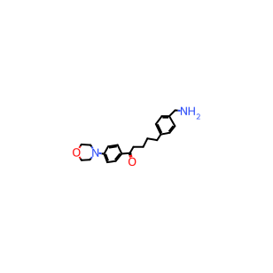 NCc1ccc(CCCCC(=O)c2ccc(N3CCOCC3)cc2)cc1